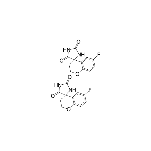 O=C1NC(=O)[C@@]2(CCOc3ccc(F)cc32)N1.O=C1NC(=O)[C@@]2(CCOc3ccc(F)cc32)N1